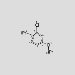 CC(C)Oc1ccc(C(C)C)c(Cl)c1